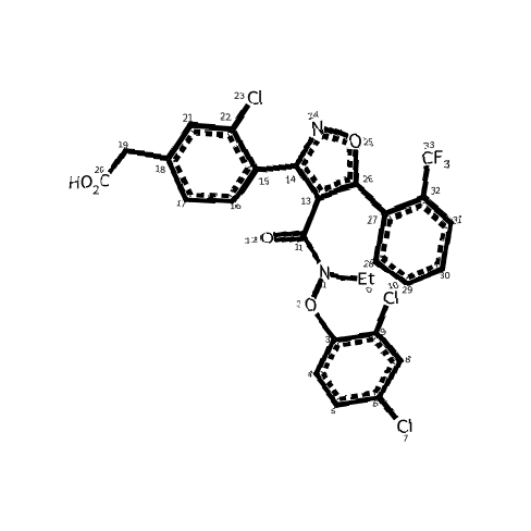 CCN(Oc1ccc(Cl)cc1Cl)C(=O)c1c(-c2ccc(CC(=O)O)cc2Cl)noc1-c1ccccc1C(F)(F)F